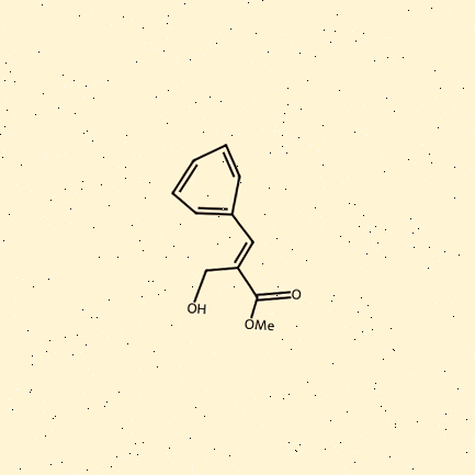 COC(=O)/C(=C/c1ccccc1)CO